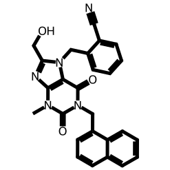 Cn1c(=O)n(Cc2cccc3ccccc23)c(=O)c2c1nc(CO)n2Cc1ccccc1C#N